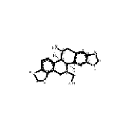 OCN1Cc2c(ccc3c2OCO3)[C@@H]2[C@H]1c1cc3c(cc1C[C@@H]2O)OCO3